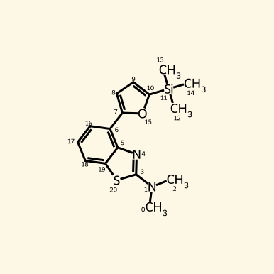 CN(C)c1nc2c(-c3ccc([Si](C)(C)C)o3)cccc2s1